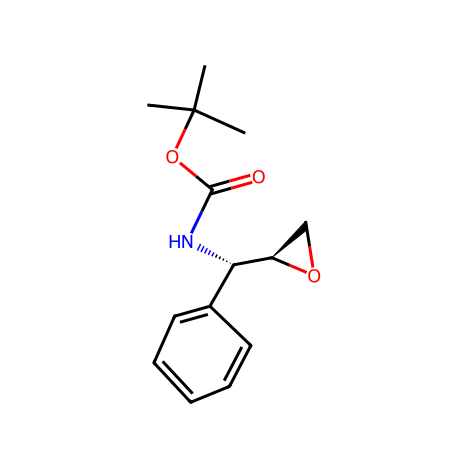 CC(C)(C)OC(=O)N[C@@H](c1ccccc1)[C@H]1CO1